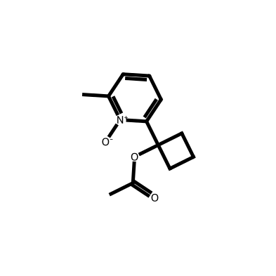 CC(=O)OC1(c2cccc(C)[n+]2[O-])CCC1